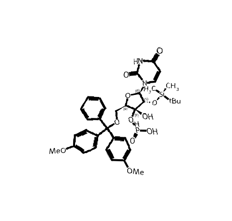 COc1ccc(C(OC[C@H]2O[C@@H](n3ccc(=O)[nH]c3=O)[C@H](O[Si](C)(C)C(C)(C)C)[C@]2(O)O[PH](=O)O)(c2ccccc2)c2ccc(OC)cc2)cc1